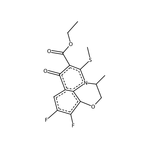 CCOC(=O)c1c(SC)n2c3c(c(F)c(F)cc3c1=O)OCC2C